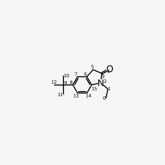 CCN1C(=O)Cc2cc(C(C)(C)C)ccc21